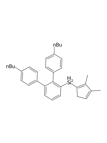 CCCCc1ccc(-c2cccc([SiH2]C3=C(C)C(C)=CC3)c2-c2ccc(CCCC)cc2)cc1